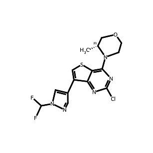 C[C@@H]1COCCN1c1nc(Cl)nc2c(-c3cnn(C(F)F)c3)csc12